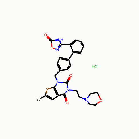 CCc1cc2c(=O)n(CCN3CCOCC3)c(=O)n(Cc3ccc(-c4ccccc4-c4noc(=O)[nH]4)cc3)c2s1.Cl